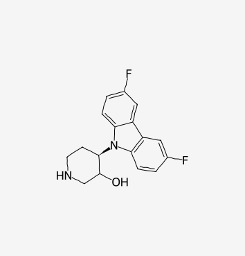 OC1CNCC[C@H]1n1c2ccc(F)cc2c2cc(F)ccc21